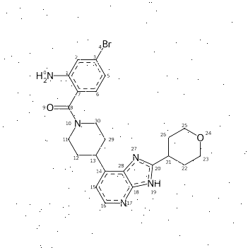 Nc1cc(Br)ccc1C(=O)N1CCC(c2ccnc3[nH]c(C4CCOCC4)nc23)CC1